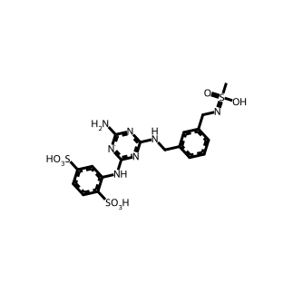 CS(=O)(O)=NCc1cccc(CNc2nc(N)nc(Nc3cc(S(=O)(=O)O)ccc3S(=O)(=O)O)n2)c1